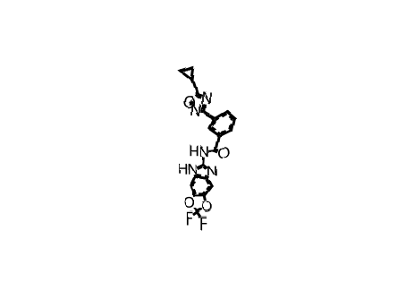 O=C(Nc1nc2cc3c(cc2[nH]1)OC(F)(F)O3)c1cccc(-c2noc(C3CC3)n2)c1